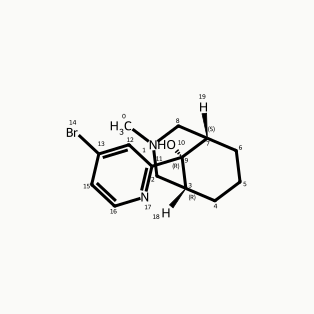 CN1C[C@H]2CCC[C@@H](C1)[C@]2(O)c1cc(Br)ccn1